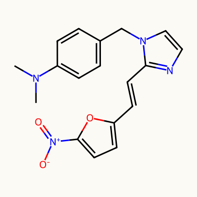 CN(C)c1ccc(Cn2ccnc2C=Cc2ccc([N+](=O)[O-])o2)cc1